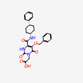 O=C(O)Cn1c(=O)[nH]c(C(=O)N[C@H]2CC[C@@H](c3ccccc3)CC2)c(OCc2ccccc2)c1=O